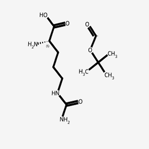 CC(C)(C)O[C]=O.NC(=O)NCCC[C@H](N)C(=O)O